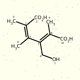 CC(C(=O)O)=C(C)C(CO)=C(C)C(=O)O